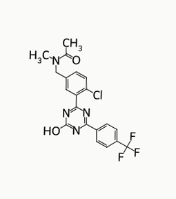 CC(=O)N(C)Cc1ccc(Cl)c(-c2nc(O)nc(-c3ccc(C(F)(F)F)cc3)n2)c1